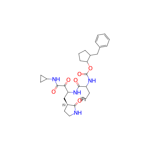 CC(C)CC(NC(=O)OC1CCCC1Cc1ccccc1)C(=O)NC(C[C@@H]1CCNC1=O)C(=O)C(=O)NC1CC1